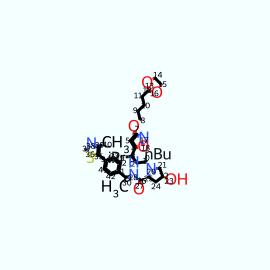 CCCCC(CC(c1cc(OCCCCC2OCCO2)no1)C(C)C)N1C[C@H](O)C[C@H]1C(=O)N[C@@H](C)c1ccc(-c2scnc2C)cc1